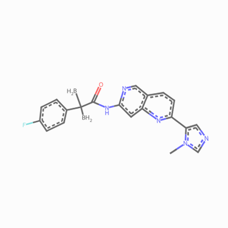 BC(B)(C(=O)Nc1cc2nc(-c3cncn3C)ccc2cn1)c1ccc(F)cc1